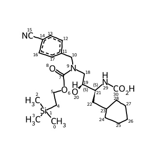 C[Si](C)(C)CCOC(=O)N(Cc1ccc(C#N)cc1)C[C@H](O)[C@H](CC1CCCCC1)NC(=O)O